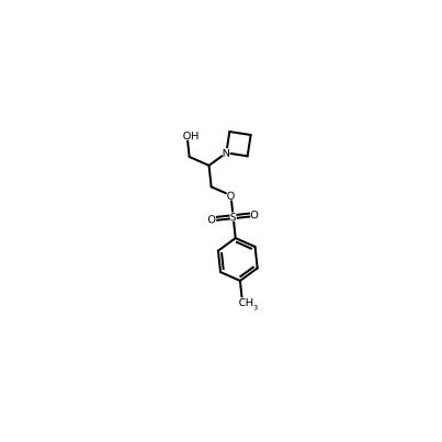 Cc1ccc(S(=O)(=O)OCC(CO)N2CCC2)cc1